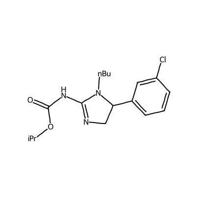 CCCCN1C(NC(=O)OC(C)C)=NCC1c1cccc(Cl)c1